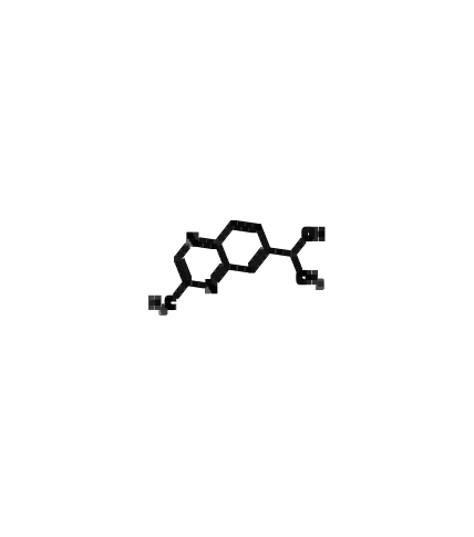 Cc1cnc2ccc(C(C)O)cc2n1